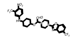 O=CC(OC1CCC(Nc2ccc([N+](=O)[O-])c(C(F)(F)F)c2)CC1)N1CCN(c2nc3cc(C(F)(F)F)ccc3o2)CC1